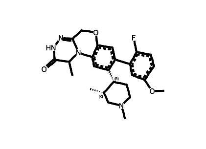 COc1ccc(F)c(-c2cc3c(cc2[C@@H]2CCN(C)C[C@@H]2C)N2C(=NNC(=O)C2C)CO3)c1